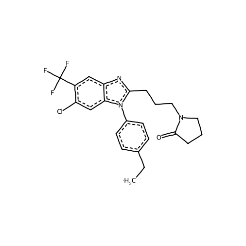 [CH2]Cc1ccc(-n2c(CCCN3CCCC3=O)nc3cc(C(F)(F)F)c(Cl)cc32)cc1